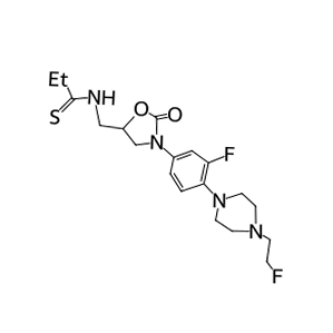 CCC(=S)NCC1CN(c2ccc(N3CCN(CCF)CC3)c(F)c2)C(=O)O1